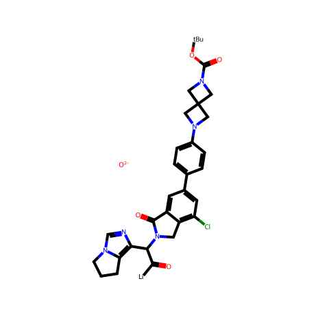 [Li][C](=O)C(c1ncn2c1CCC2)N1Cc2c(Cl)cc(-c3ccc(N4CC5(CN(C(=O)OC(C)(C)C)C5)C4)cc3)cc2C1=O.[O-2]